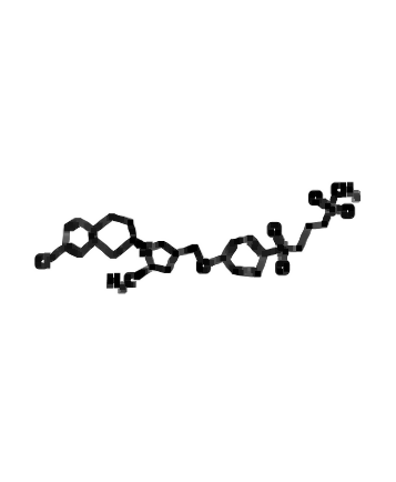 C[C@@H]1C[C@H](COc2ccc(S(=O)(=O)CCCS(C)(=O)=O)cc2)CN1[C@@H]1CCc2ccc(Cl)cc2C1